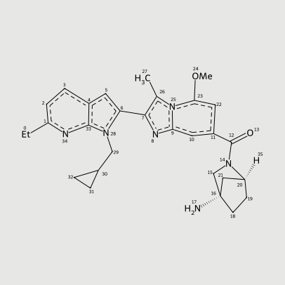 CCc1ccc2cc(-c3nc4cc(C(=O)N5C[C@]6(N)CC[C@H]5C6)cc(OC)n4c3C)n(CC3CC3)c2n1